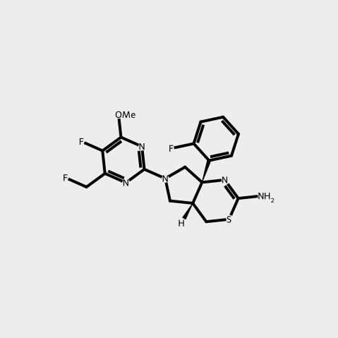 COc1nc(N2C[C@H]3CSC(N)=N[C@@]3(c3ccccc3F)C2)nc(CF)c1F